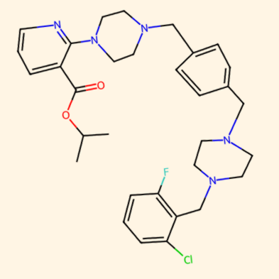 CC(C)OC(=O)c1cccnc1N1CCN(Cc2ccc(CN3CCN(Cc4c(F)cccc4Cl)CC3)cc2)CC1